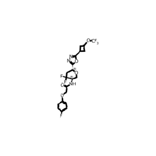 O=C(COc1ccc(F)cc1)N[C@@H]1CO[C@@H](c2nnc(C3CC(OC(F)(F)F)C3)o2)CC1(F)F